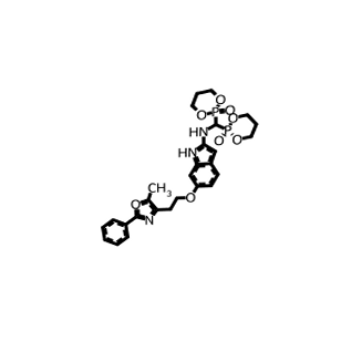 Cc1oc(-c2ccccc2)nc1CCOc1ccc2cc(NC(P3(=O)OCCCO3)P3(=O)OCCCO3)[nH]c2c1